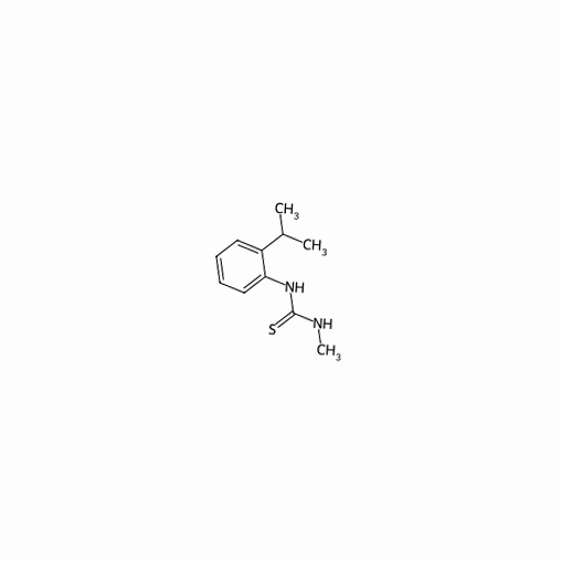 CNC(=S)Nc1ccccc1C(C)C